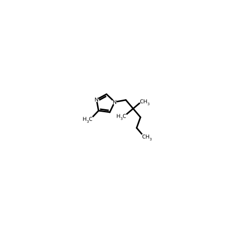 CCCC(C)(C)Cn1cnc(C)c1